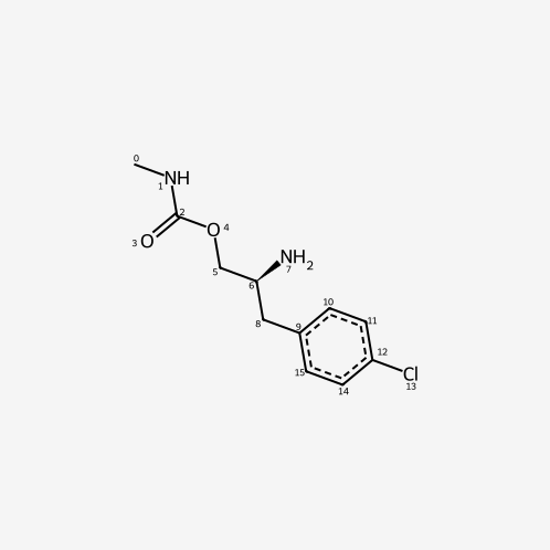 CNC(=O)OC[C@@H](N)Cc1ccc(Cl)cc1